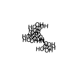 OC[C@H]1O[C@@H](OCCNCCO[C@H]2O[C@H](CO[C@H]3O[C@H](CO)[C@@H](O)[C@H](O)[C@@H]3O)[C@@H](O)[C@H](O[C@H]3O[C@H](CO)[C@@H](O)[C@H](O)[C@@H]3O)[C@@H]2O)[C@@H](O)[C@@H](O)[C@@H]1O